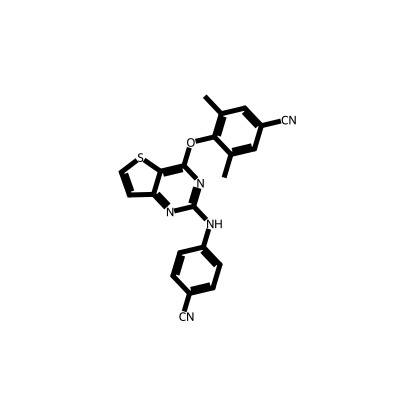 Cc1cc(C#N)cc(C)c1Oc1nc(Nc2ccc(C#N)cc2)nc2ccsc12